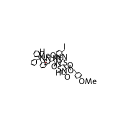 CON=C(C(=O)NC1S[C@H]2CC(=O)N2C(C(=O)OCc2ccc(OC)cc2)=C1Sc1nc2c(CI)cccc2s1)c1csc(NC(c2ccccc2)(c2ccccc2)c2ccccc2)n1